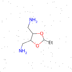 CCC1OC(CN)C(CN)O1